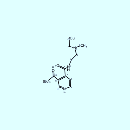 CN(CCNC(=O)c1ccncc1C(=O)C(C)(C)C)CC(C)(C)C